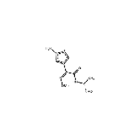 CO/N=C(\C(=O)N[C@H](C)[C]=O)c1csc(N)n1